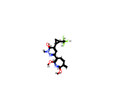 C=C1C=CC(c2cc(C3CC3C(F)(F)F)c(=O)n(C)n2)=C(OC)N=C1OC